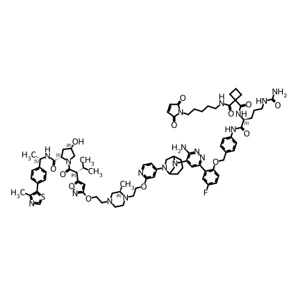 Cc1ncsc1-c1ccc([C@H](C)NC(=O)[C@@H]2C[C@@H](O)CN2C(=O)[C@@H](c2cc(OCCN3CCN(CCOc4cc(N5CC6CCCC5CN6c5cc(-c6cc(F)ccc6OCc6ccc(NC(=O)[C@H](CCCNC(N)=O)NC(=O)C7(C(=O)NCCCCCN8C(=O)C=CC8=O)CCC7)cc6)nnc5N)ccn4)[C@H](C)C3)no2)C(C)C)cc1